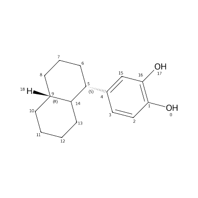 Oc1ccc([C@H]2CCC[C@H]3CCCCC32)cc1O